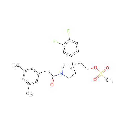 CS(=O)(=O)OCC[C@]1(c2ccc(F)c(F)c2)CCN(C(=O)Cc2cc(C(F)(F)F)cc(C(F)(F)F)c2)C1